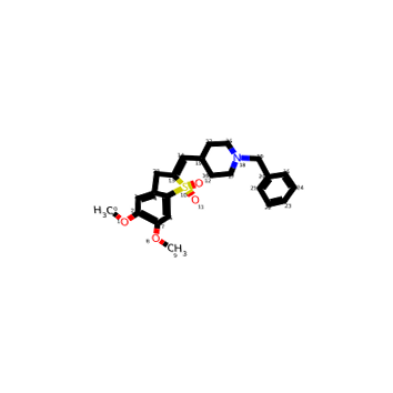 COc1cc2c(cc1OC)S(=O)(=O)C(=CC1CCN(Cc3ccccc3)CC1)C2